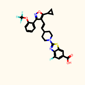 O=C(O)c1cc(F)c2nc(N3CCC(C=Cc4c(-c5ccccc5OC(F)(F)F)noc4C4CC4)CC3)sc2c1